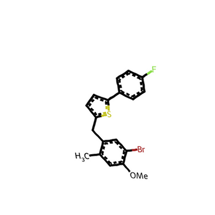 COc1cc(C)c(Cc2ccc(-c3ccc(F)cc3)s2)cc1Br